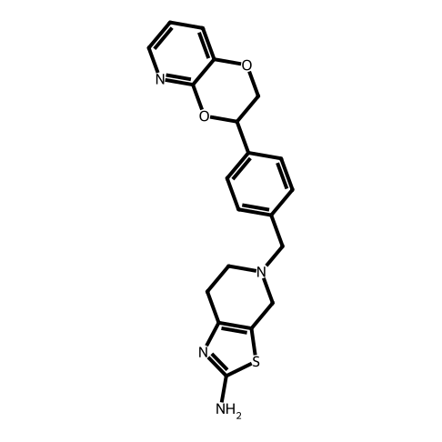 Nc1nc2c(s1)CN(Cc1ccc(C3COc4cccnc4O3)cc1)CC2